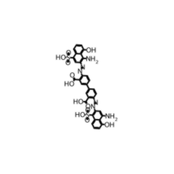 Nc1cc(N=Nc2ccc(-c3ccc(N=Nc4cc(S(=O)(=O)O)c5cccc(O)c5c4N)c(C(=O)O)c3)cc2C(=O)O)c(S(=O)(=O)O)c2cccc(O)c12